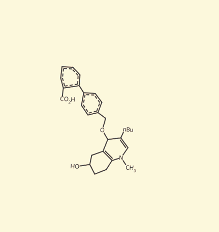 CCCCC1=CN(C)C2=C(CC(O)CC2)C1OCc1ccc(-c2ccccc2C(=O)O)cc1